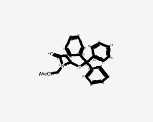 COCN1C(=O)CC1SC(c1ccccc1)(c1ccccc1)c1ccccc1